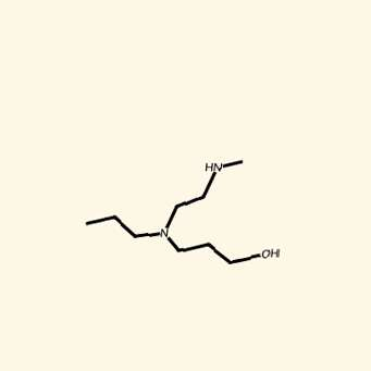 CCCN(CCCO)CCNC